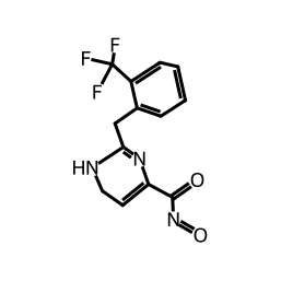 O=NC(=O)C1=CCNC(Cc2ccccc2C(F)(F)F)=N1